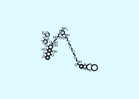 COc1cccc2c1C(=O)c1c(O)c3c(c(O)c1C2=O)C[C@@](O)(C(=O)NCCNC(=O)[C@H](C)NC(=O)C(CC(N)=O)NC(=O)CCOCCOCCOCCOCCNC(=O)c1ccc2nc4c(nc2c1)CSC1CCCCCCC(C1)SC4)C[C@@H]3O[C@H]1CC[C@H](O[C@H]2NCCO[C@@H]2OC)[C@H](C)O1